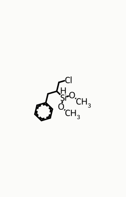 CO[SiH](OC)C(CCl)Cc1ccccc1